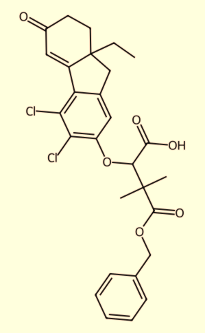 CCC12CCC(=O)C=C1c1c(cc(OC(C(=O)O)C(C)(C)C(=O)OCc3ccccc3)c(Cl)c1Cl)C2